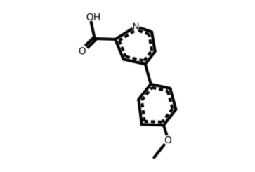 COc1ccc(-c2ccnc(C(=O)O)c2)cc1